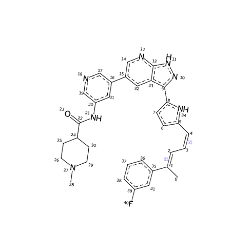 C/C(=C\C=C/c1ccc(-c2n[nH]c3ncc(-c4cncc(NC(=O)C5CCN(C)CC5)c4)cc23)[nH]1)c1cccc(F)c1